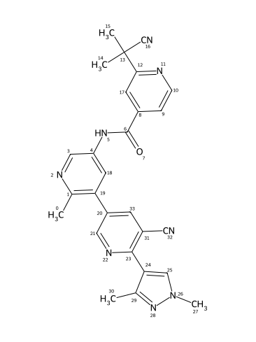 Cc1ncc(NC(=O)c2ccnc(C(C)(C)C#N)c2)cc1-c1cnc(-c2cn(C)nc2C)c(C#N)c1